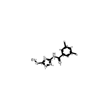 CCSc1nnc(NC(=O)c2cc(C)cc(C)c2)o1